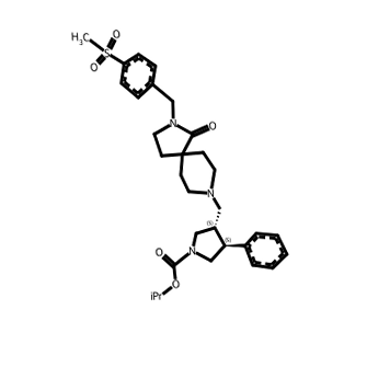 CC(C)OC(=O)N1C[C@H](CN2CCC3(CC2)CCN(Cc2ccc(S(C)(=O)=O)cc2)C3=O)[C@@H](c2ccccc2)C1